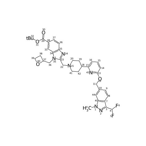 Cn1nc(C(F)F)c2ccc(COc3cccc(C4CCN(Cc5nc6ccc(C(=O)OC(C)(C)C)cc6n5CC5CCO5)CC4)n3)cc21